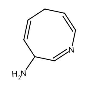 NC1C=CC/C=C\N=C/1